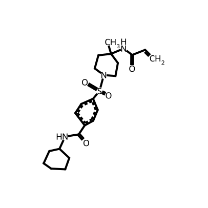 C=CC(=O)NC1(C)CCN(S(=O)(=O)c2ccc(C(=O)NC3CCCCC3)cc2)CC1